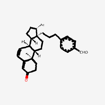 CC(=O)[C@H]1CC[C@H]2[C@@H]3C=CC4=CC(=O)CC[C@]4(C)[C@H]3CC[C@]12CCCc1ccc(C=O)cc1